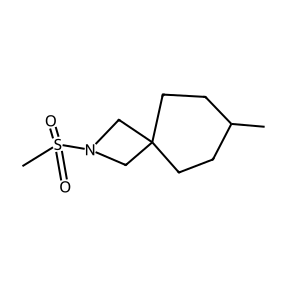 CC1CCC2(CC1)CN(S(C)(=O)=O)C2